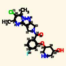 Cc1nc2c3c(nn2c(C)c1Cl)CN(C(=O)c1ccc(F)cc1OC1CNCC(O)C1)C3